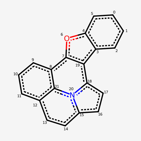 c1ccc2c(c1)oc1c3cccc4ccc5ccc(c21)n5c43